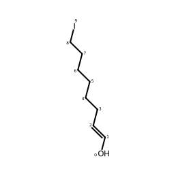 OC=CCCCCCCI